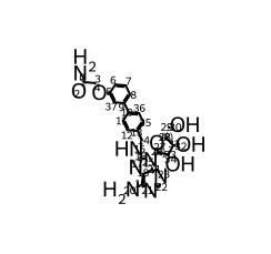 NC(=O)COc1cccc(-c2ccc(CNc3nc4c(N)ncnc4n3[C@@H]3O[C@H](CO)C(O)C3O)cc2)c1